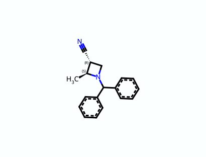 C[C@H]1[C@H](C#N)CN1C(c1ccccc1)c1ccccc1